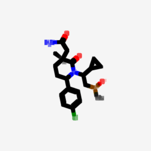 CC(C)(C)[S+]([O-])CC(C1CC1)N1C(=O)[C@@](C)(CC(N)=O)CCC1c1ccc(Cl)cc1